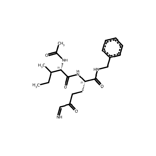 CCC(C)[C@H](NC(C)=O)C(=O)N[C@@H](CCC(=O)C=N)C(=O)NCc1ccccc1